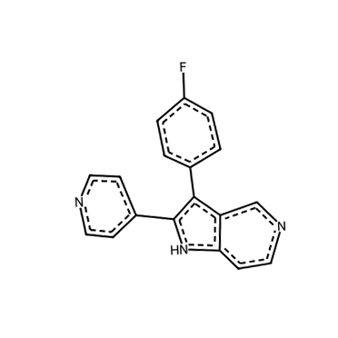 Fc1ccc(-c2c(-c3ccncc3)[nH]c3ccncc23)cc1